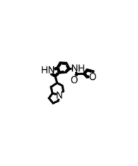 O=C(Nc1ccc2[nH]cc(C3CCN4CCCC4C3)c2c1)c1ccoc1